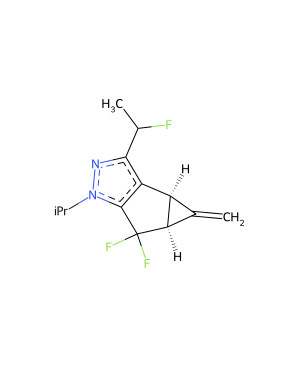 C=C1[C@@H]2c3c(C(C)F)nn(C(C)C)c3C(F)(F)[C@H]12